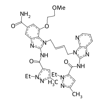 CCn1nc(C)cc1C(=O)Nc1nc2cccnc2n1CC=CCn1c(NC(=O)c2cc(C)nn2CC)nc2cc(C(N)=O)cc(OCCOC)c21